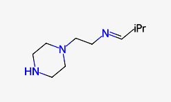 CC(C)C=NCCN1CCNCC1